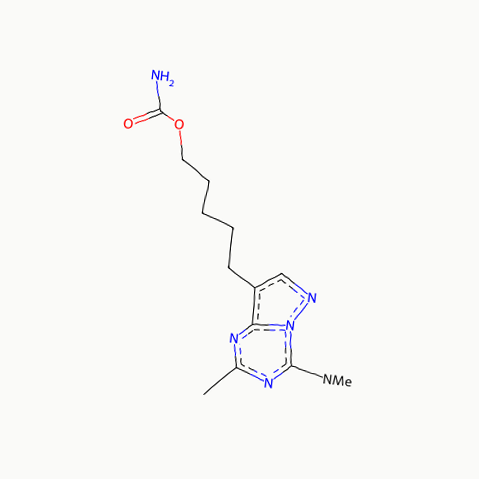 CNc1nc(C)nc2c(CCCCCOC(N)=O)cnn12